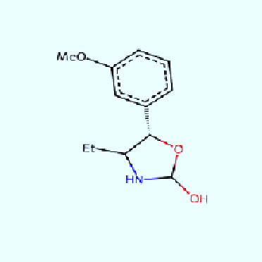 CCC1NC(O)O[C@H]1c1cccc(OC)c1